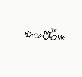 COc1ccc(N2CCN(c3ccncc3)CC2)nc1Br